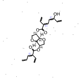 C=C/C=C(\C=C)C(=O)O[C@@H]1CO[C@H]2[C@@H]1OC[C@@H]2OC(=O)/C(C=C)=C/C=C(/O)C=C